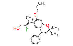 CCCOc1cc2c(cc1C(C)=C(F)CO)C(c1ccccc1)=CC(C)(C)O2